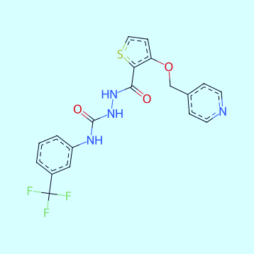 O=C(NNC(=O)c1sccc1OCc1ccncc1)Nc1cccc(C(F)(F)F)c1